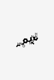 CCCNC(=O)c1cccc(-c2nc(C)n3c2cnc2[nH]ccc23)c1